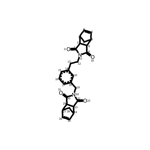 O=C1C2C3C=CC(C3)C2C(=O)N1CCc1cccc(CN2C(=O)C3C4C=CC(C4)C3C2=O)c1